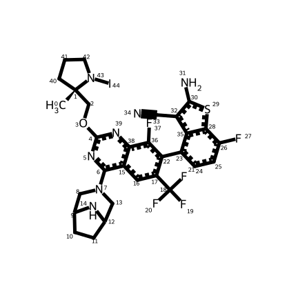 C[C@@]1(COc2nc(N3CC4CCC(C3)N4)c3cc(C(F)(F)F)c(-c4ccc(F)c5sc(N)c(C#N)c45)c(F)c3n2)CCCN1I